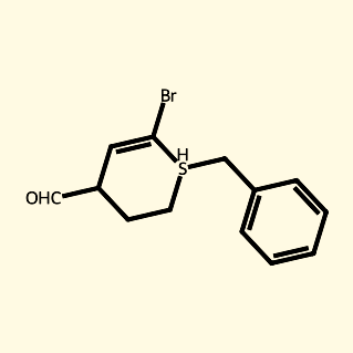 O=CC1C=C(Br)[SH](Cc2ccccc2)CC1